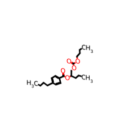 CCCCOC(=O)OCC(CCC)OC(=O)c1ccc(CCCC)cc1